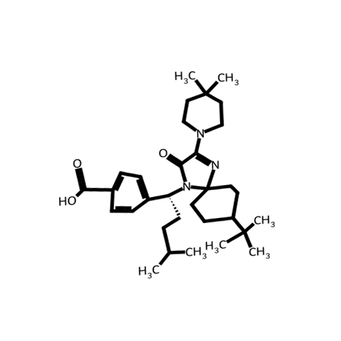 CC(C)CC[C@H](c1ccc(C(=O)O)cc1)N1C(=O)C(N2CCC(C)(C)CC2)=NC12CCC(C(C)(C)C)CC2